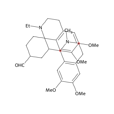 CCN1CCc2cc(OC)c(OC)cc2C12CCC(C=O)CC2C1c2cc(OC)c(OC)cc2CCN1C